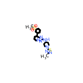 Cc1nsc(N2CCC(Nc3nc4c(-c5cccc(S(C)(=O)=O)c5)cccn4n3)CC2)n1